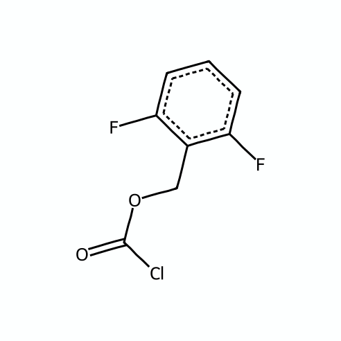 O=C(Cl)OCc1c(F)cccc1F